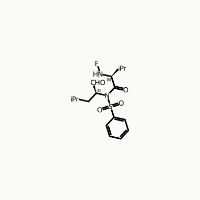 CC(C)C[C@@H](C=O)N(C(=O)[C@@H](NF)C(C)C)S(=O)(=O)c1ccccc1